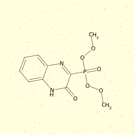 COOP(=O)(OOC)c1nc2ccccc2[nH]c1=O